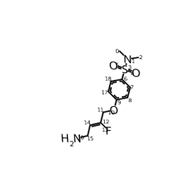 CN(C)S(=O)(=O)c1ccc(OCC(F)=CCN)cc1